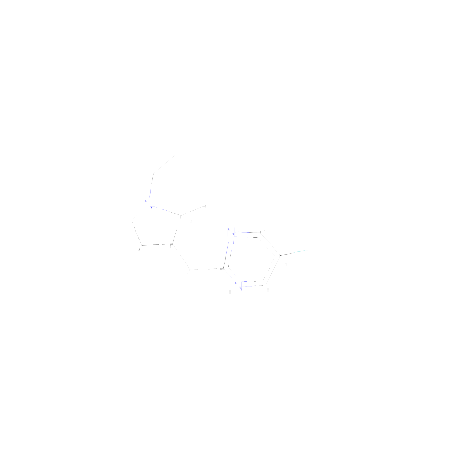 CCN1CCC(Cc2ncc(F)cn2)C1C